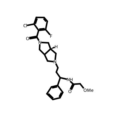 COCC(=O)NC(CCN1CC2CN(C(=O)c3c(F)cccc3Cl)C[C@@H]2C1)c1ccccc1